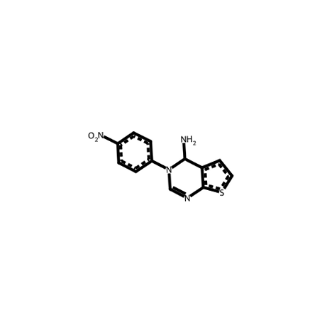 NC1c2ccsc2N=CN1c1ccc([N+](=O)[O-])cc1